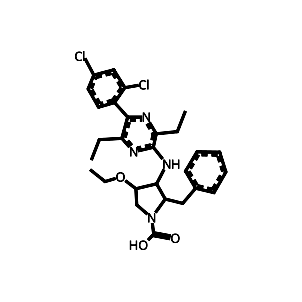 CCOC1CN(C(=O)O)C(Cc2ccccc2)C1Nc1nc(CC)c(-c2ccc(Cl)cc2Cl)nc1CC